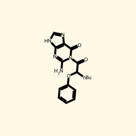 CCCCC(Oc1ccccc1)C(=O)n1c(N)nc2[nH]cnc2c1=O